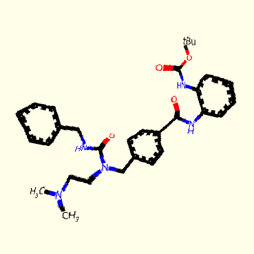 CN(C)CCN(Cc1ccc(C(=O)Nc2ccccc2NC(=O)OC(C)(C)C)cc1)C(=O)NCc1ccccc1